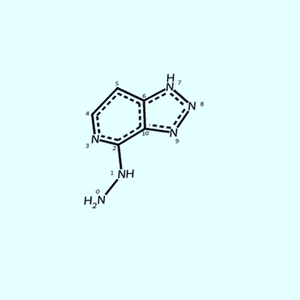 NNc1nccc2[nH]nnc12